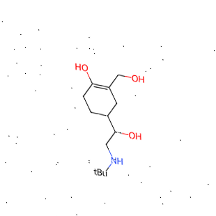 CC(C)(C)NCC(O)C1CCC(O)=C(CO)C1